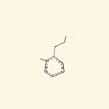 CCCCCCCCCc1ccccc1OC(C)=O